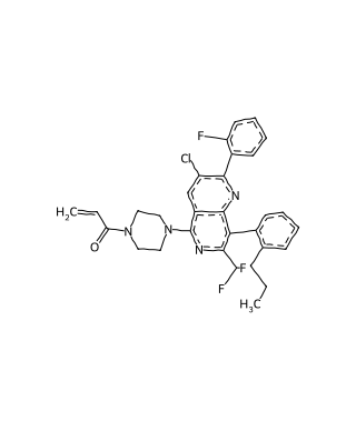 C=CC(=O)N1CCN(c2nc(C(F)F)c(-c3ccccc3CCC)c3nc(-c4ccccc4F)c(Cl)cc23)CC1